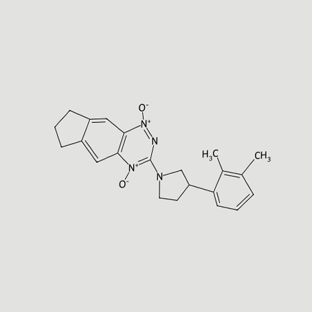 Cc1cccc(C2CCN(c3n[n+]([O-])c4cc5c(cc4[n+]3[O-])CCC5)C2)c1C